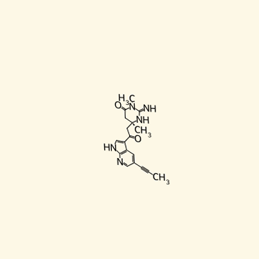 CC#Cc1cnc2[nH]cc(C(=O)C[C@]3(C)CC(=O)N(C)C(=N)N3)c2c1